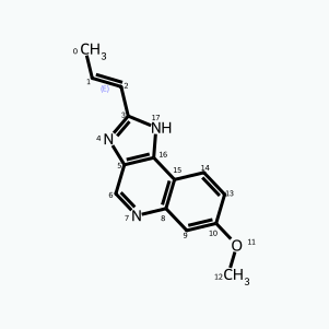 C/C=C/c1nc2cnc3cc(OC)ccc3c2[nH]1